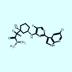 CN(C)C(=O)C(F)(F)[C@]1(P)CCC[C@@H](Nc2nc(-c3c[nH]c4ncc(Cl)cc34)ncc2F)C1